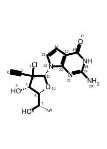 C#CC1(Cl)[C@@H](O)[C@@H]([C@H](C)O)O[C@H]1n1ccc2c(=O)[nH]c(N)nc21